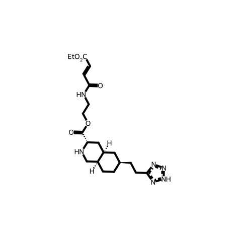 CCOC(=O)/C=C/C(=O)NCCOC(=O)[C@@H]1C[C@H]2C[C@@H](CCc3nn[nH]n3)CC[C@H]2CN1